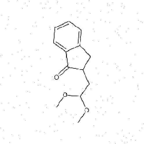 COC(CC1Cc2ccccc2C1=O)OC